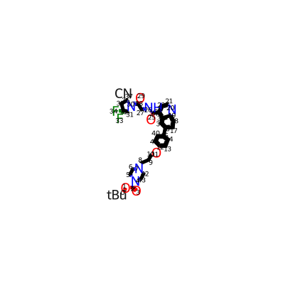 CC(C)(C)OC(=O)N1CCN(CCCOc2ccc(-c3ccc4nccc(C(=O)NCC(=O)N5CC(F)(F)C[C@H]5C#N)c4c3)cc2)CC1